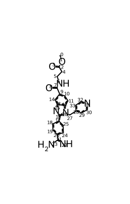 COC(=O)CCNC(=O)c1ccc2c(c1)nc(-c1ccc(C(=N)N)cc1)n2Cc1ccncc1